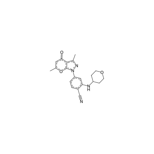 Cc1cc(=O)c2c(C)nn(-c3ccc(C#N)c(NC4CCOCC4)c3)c2o1